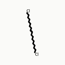 ClCCCCCCCCC=CCCCCCCCCCCl